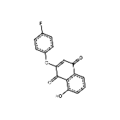 O=C1C=C(Oc2ccc(F)cc2)C(=O)c2c(O)cccc21